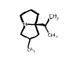 CC1CN2CCCC2(C(C)C)C1